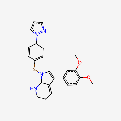 COc1ccc(C2=CN(SC3=CCC(n4cccn4)C=C3)C3NCCC=C23)cc1OC